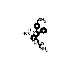 Cl.Cl.NCC(=O)NCc1nccc2nc(-c3ccc(CN)cc3)c(-c3ccccc3)cc12